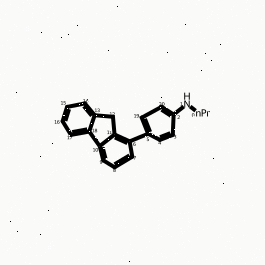 CCCNc1ccc(-c2cccc3c2Cc2ccccc2-3)cc1